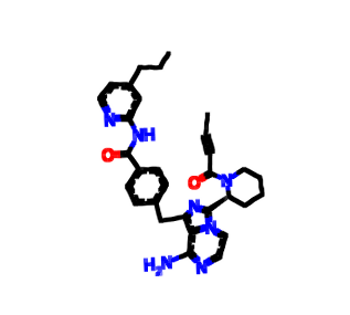 CC#CC(=O)N1CCCC[C@H]1c1nc(Cc2ccc(C(=O)Nc3cc(CCC)ccn3)cc2)c2c(N)nccn12